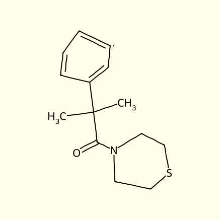 CC(C)(C(=O)N1CCSCC1)c1c[c]ccc1